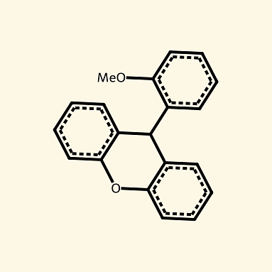 COc1ccccc1C1c2ccccc2Oc2ccccc21